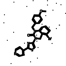 COc1ccc(CN2C(=O)N(c3csc(-c4ccncc4)n3)Cc3c(Br)cccc32)cc1